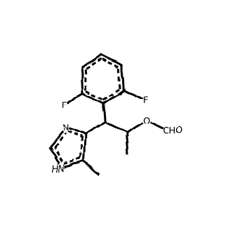 Cc1[nH]cnc1C(c1c(F)cccc1F)C(C)OC=O